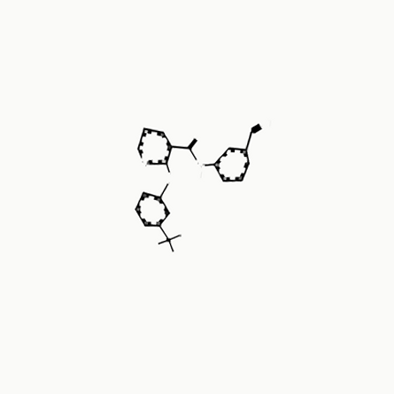 C#Cc1cccc(NC(=O)c2cccnc2Oc2cccc(C(F)(F)F)c2)c1